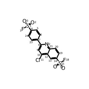 O=S(=O)(F)c1ccc(-c2cc(Cl)c3cc(S(=O)(=O)F)ccc3n2)cc1